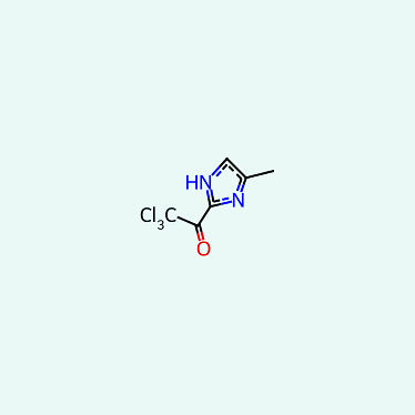 Cc1c[nH]c(C(=O)C(Cl)(Cl)Cl)n1